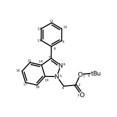 CC(C)(C)OC(=O)Cn1nc(-c2ccccc2)c2ccccc21